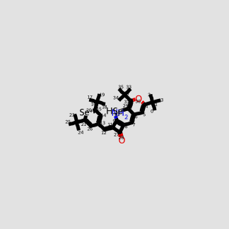 CC(C)(C)C1=CC(=CC2=C(N)C(=Cc3cc(C(C)(C)C)[se+]c(C(C)(C)C)c3)C2=O)C([SeH])=C(C(C)(C)C)O1